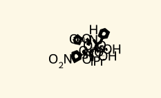 CC(C)CN(C[C@@H](OP(=O)(O)O)C(Cc1ccccc1)NC(=O)O[C@H]1CCOC1)S(=O)(=O)c1ccc([N+](=O)[O-])cc1